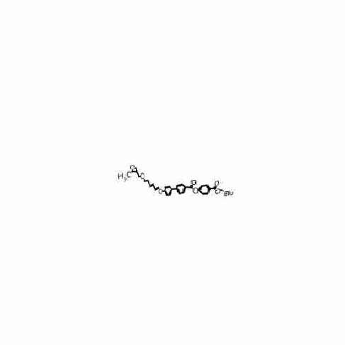 CC[C@@H](C)COC(=O)c1ccc(OC(=O)c2ccc(-c3ccc(OCCCCCCOCC4COC4C)cc3)cc2)cc1